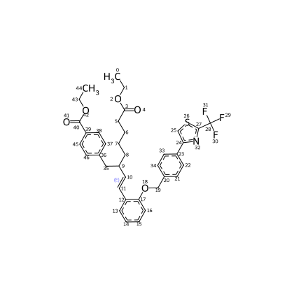 CCOC(=O)CCCCC(/C=C/c1ccccc1OCc1ccc(-c2csc(C(F)(F)F)n2)cc1)Cc1ccc(C(=O)OCC)cc1